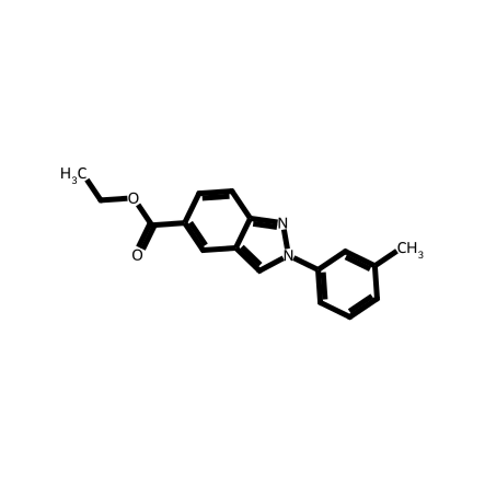 CCOC(=O)c1ccc2nn(-c3cccc(C)c3)cc2c1